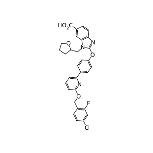 O=C(O)c1ccc2nc(Oc3ccc(-c4cccc(OCc5ccc(Cl)cc5F)n4)cc3)n(CC3CCCO3)c2c1